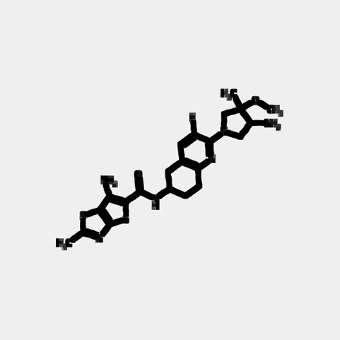 COC1(C)CN(c2nc3c(cc2F)CC(NC(=O)c2sc4nc(C)sc4c2N)CC3)CC1N